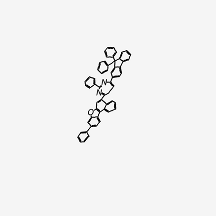 C1=C(c2ccc3c(c2)C(c2ccccc2)(c2ccccc2)c2ccccc2-3)N=C(c2ccccc2)N=C(c2cc3oc4cc(-c5ccccc5)ccc4c3c3ccccc23)C1